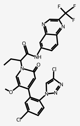 CCC(C(=O)Nc1ccc2nc(C(F)(F)F)cnc2c1)n1cc(OC)c(-c2cc(Cl)ccc2-n2cc(Cl)nn2)cc1=O